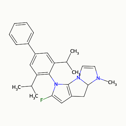 CC(C)c1cc(-c2ccccc2)cc(C(C)C)c1-n1c(F)cc2c1N1C=CN(C)C1C2